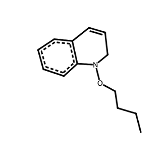 CCCCON1CC=Cc2ccccc21